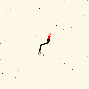 CCC=O.[Ir]